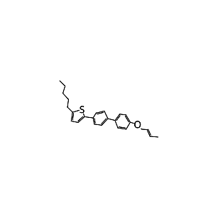 CC=CCOc1ccc(-c2ccc(-c3ccc(CCCCC)s3)cc2)cc1